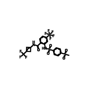 CS(=O)(=O)c1ccc(S(=O)(=O)Nc2cc(S(F)(F)(F)(F)F)ccc2C(=O)NC23CC(C(F)(F)F)(C2)C3)cc1